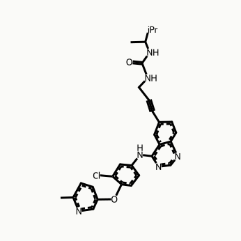 Cc1ccc(Oc2ccc(Nc3ncnc4ccc(C#CCNC(=O)NC(C)C(C)C)cc34)cc2Cl)cn1